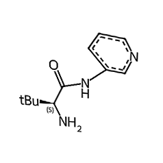 CC(C)(C)[C@H](N)C(=O)Nc1cccnc1